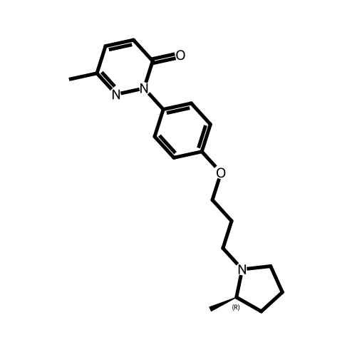 Cc1ccc(=O)n(-c2ccc(OCCCN3CCC[C@H]3C)cc2)n1